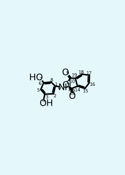 Nc1cc(O)cc(O)c1.O=C1OC(=O)c2ccccc21